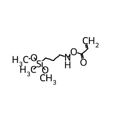 C=CC(=O)ONCCC[Si](C)(OC)OC